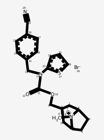 C[N+]1(C)C2CCC1CC(COC(=O)N(Cc1ccc(C#N)cc1)c1cccs1)C2.[Br-]